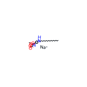 CCCCCCCCCCCCCCCCNc1ccc(-c2nc(CC(=O)[O-])c(OCC)o2)cc1.[Na+]